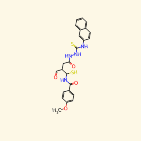 COc1ccc(C(=O)NC(S)C(C=O)CC(=O)NNC(=S)Nc2ccc3ccccc3c2)cc1